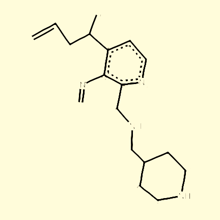 C=CCC(C)c1ccnc(CNCC2CCNCC2)c1N=C